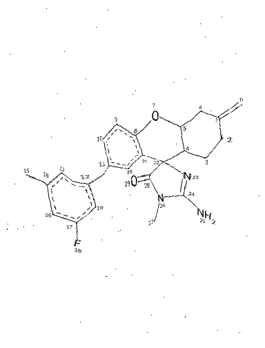 C=C1CCC2C(C1)Oc1ccc(-c3cc(C)cc(F)c3)cc1C21N=C(N)N(C)C1=O